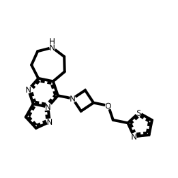 c1csc(COC2CN(c3c4c(nc5ccnn35)CCNCC4)C2)n1